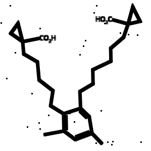 Cc1cc(C)c(CCCCCC2(C(=O)O)CC2)c(CCCCCCC2(C(=O)O)CC2)c1